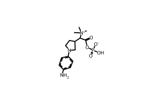 C[N+](C)(C)C(C(=O)OP(=O)([O-])O)C1CCN(c2ccc(N)cc2)C1